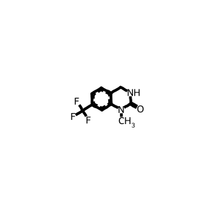 CN1C(=O)NCc2ccc(C(F)(F)F)cc21